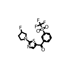 O=C(c1cccc(S(=O)(=O)C(F)(F)F)c1)c1cnc(N2CCC(F)C2)s1